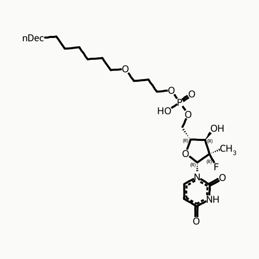 CCCCCCCCCCCCCCCCOCCCOP(=O)(O)OC[C@H]1O[C@@H](n2ccc(=O)[nH]c2=O)[C@](C)(F)[C@@H]1O